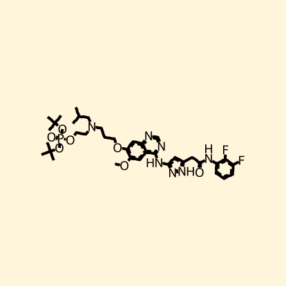 COc1cc2c(Nc3cc(CC(=O)Nc4cccc(F)c4F)[nH]n3)ncnc2cc1OCCCN(CCOP(=O)(OC(C)(C)C)OC(C)(C)C)CC(C)C